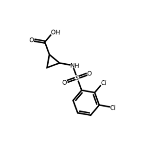 O=C(O)C1CC1NS(=O)(=O)c1cccc(Cl)c1Cl